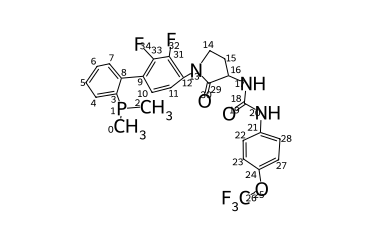 CP(C)c1ccccc1-c1ccc(N2CCC(NC(=O)Nc3ccc(OC(F)(F)F)cc3)C2=O)c(F)c1F